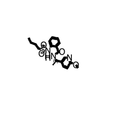 CCCCS(=O)(=O)Nc1ccccc1C(=O)N[C@H](C)c1ccc(OC)nc1